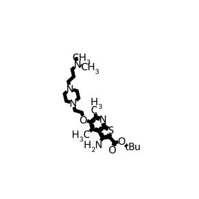 Cc1nc2sc(C(=O)OC(C)(C)C)c(N)c2c(C)c1OCCN1CCN(CCCN(C)C)CC1